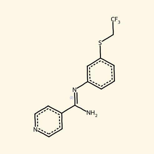 N/C(=N\c1cccc(SCC(F)(F)F)c1)c1ccncc1